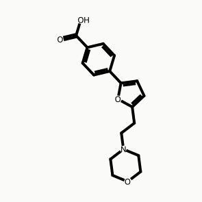 O=C(O)c1ccc(-c2ccc(CCN3CCOCC3)o2)cc1